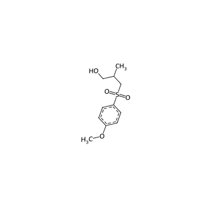 COc1ccc(S(=O)(=O)CC(C)CO)cc1